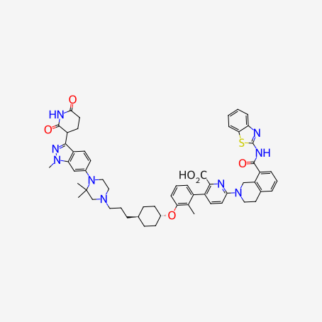 Cc1c(O[C@H]2CC[C@H](CCCN3CCN(c4ccc5c(C6CCC(=O)NC6=O)nn(C)c5c4)C(C)(C)C3)CC2)cccc1-c1ccc(N2CCc3cccc(C(=O)Nc4nc5ccccc5s4)c3C2)nc1C(=O)O